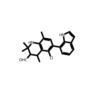 Cc1cc(-c2cccc3cc[nH]c23)c(Cl)c2c1NC(C)(C)C(C=O)C2C